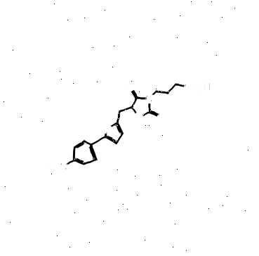 O=C(O)CCCN1C(=O)C(Cc2ccc(-c3ccc([N+](=O)[O-])cc3)o2)SC1=S